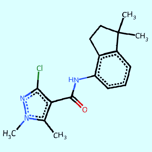 Cc1c(C(=O)Nc2cccc3c2CCC3(C)C)c(Cl)nn1C